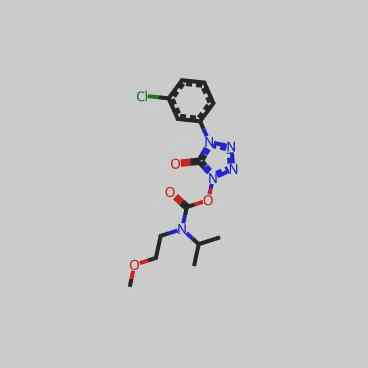 COCCN(C(=O)On1nnn(-c2cccc(Cl)c2)c1=O)C(C)C